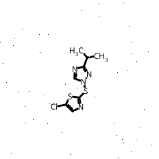 CC(C)c1ncn(Sc2ncc(Cl)s2)n1